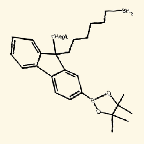 BCCCCCCC1(CCCCCCC)c2ccccc2-c2ccc(B3OC(C)(C)C(C)(C)O3)cc21